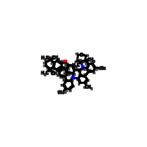 Cc1cc2c3c(c1)N(c1ccc(C(C)(C)C)cc1-c1ccccc1)c1cc4c(cc1B3N1c3c-2cc(C(C)(C)C)cc3C2(C)CCCCC12C)oc1cc2c(cc14)C(C)(C)CCC2(C)C